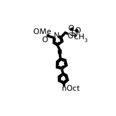 CCCCCCCCc1ccc(-c2ccc(C#Cc3cc(COS(C)(=O)=O)nc(C(=O)OC)c3)cc2)cc1